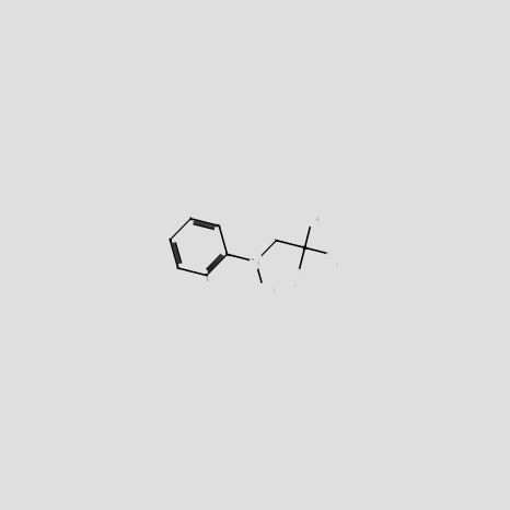 CC(C)N(CC(O)(O)O)c1ccccc1